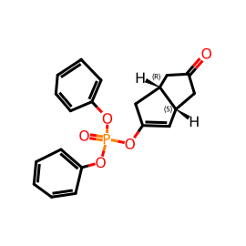 O=C1C[C@H]2CC(OP(=O)(Oc3ccccc3)Oc3ccccc3)=C[C@H]2C1